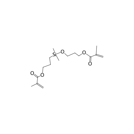 C=C(C)C(=O)OCCCO[Si](C)(C)CCCOC(=O)C(=C)C